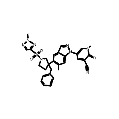 Cc1cc2c(cnn2-c2cc(C#N)c(=O)n(C)c2)cc1C1(Cc2ccccc2)CCN(S(=O)(=O)c2cnn(C)n2)C1